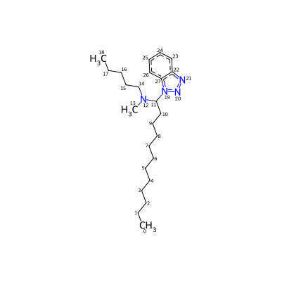 CCCCCCCCCCCC(N(C)CCCCC)n1nnc2ccccc21